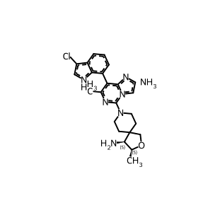 Cc1nc(N2CCC3(CC2)CO[C@@H](C)[C@H]3N)n2ccnc2c1-c1cccc2c(Cl)c[nH]c12.N